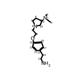 CN(C)[C@@H]1CCN(CCOc2ccc(CCN)cc2)C1